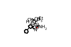 CCOCC(C(C)(C)CCl)C(OC(N)=O)(Oc1ccc(-c2ccccc2)cc1)n1ccnc1